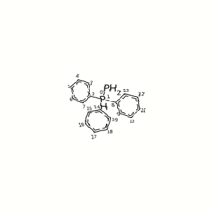 P[PH](c1ccccc1)(c1ccccc1)c1ccccc1